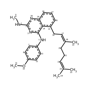 CNc1nc(Nc2ccc(OC)cc2)c2c(CC=C(C)CCC=C(C)C)cccc2n1